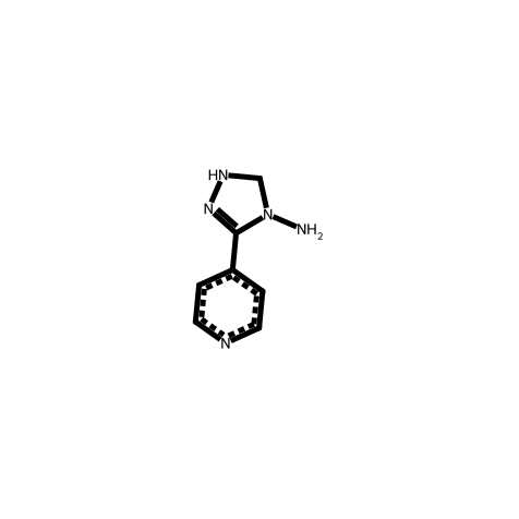 NN1CNN=C1c1ccncc1